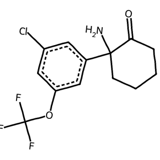 NC1(c2cc(Cl)cc(OC(F)(F)F)c2)CCCCC1=O